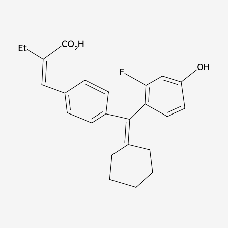 CCC(=Cc1ccc(C(=C2CCCCC2)c2ccc(O)cc2F)cc1)C(=O)O